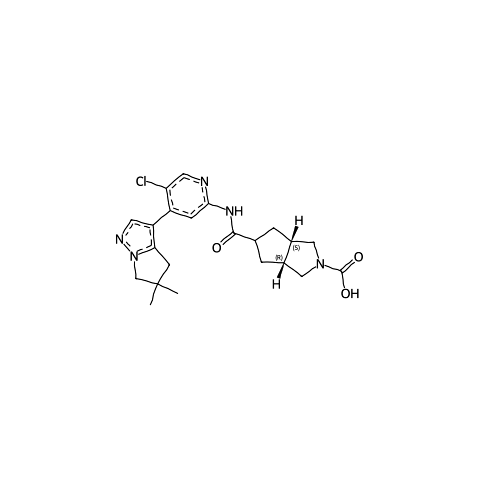 CC1(C)Cc2c(-c3cc(NC(=O)C4C[C@@H]5CN(C(=O)O)C[C@@H]5C4)ncc3Cl)cnn2C1